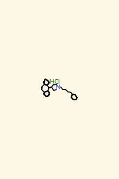 C1=Cc2ccccc2C(=C2CCN(CCCCCc3ccccc3)CC2)c2ccccc21.Cl